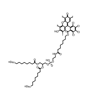 CCCCCCCCCCCCCCCCCC(=O)OCC(COP(=O)(O)OCCNC(=O)CCCCCCCOC(=O)c1c(Cl)c(Cl)c(Cl)c(Cl)c1-c1c2cc(I)c(=O)c(I)c-2oc2c(I)c(O)c(I)cc12)OC(=O)CCCCCCCCCCCCCCCCC